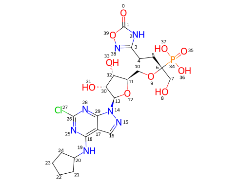 O=c1[nH]c(CC[C@@](CO)(OC[C@H]2O[C@@H](n3ncc4c(NC5CCCC5)nc(Cl)nc43)[C@H](O)[C@@H]2O)P(=O)(O)O)no1